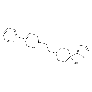 OC1(c2cccs2)CCC(CCN2CC=C(c3ccccc3)CC2)CC1